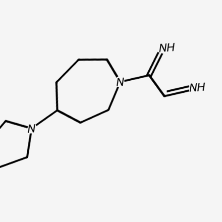 N=CC(=N)N1CCCC(N2CCCC2)CC1